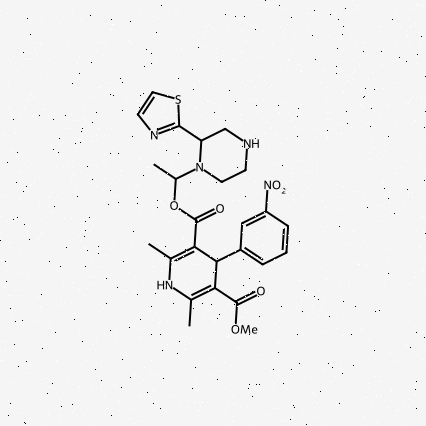 COC(=O)C1=C(C)NC(C)=C(C(=O)OC(C)N2CCNCC2c2nccs2)C1c1cccc([N+](=O)[O-])c1